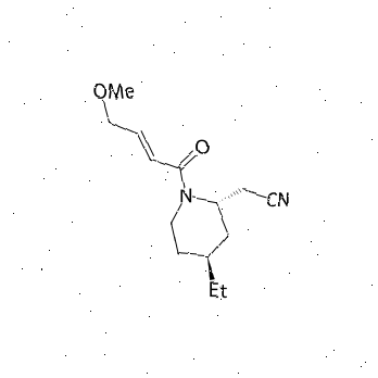 CC[C@H]1CCN(C(=O)/C=C/COC)[C@H](CC#N)C1